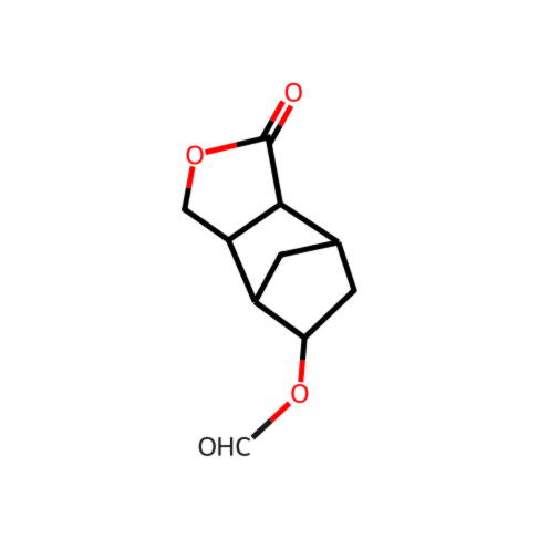 O=COC1CC2CC1C1COC(=O)C21